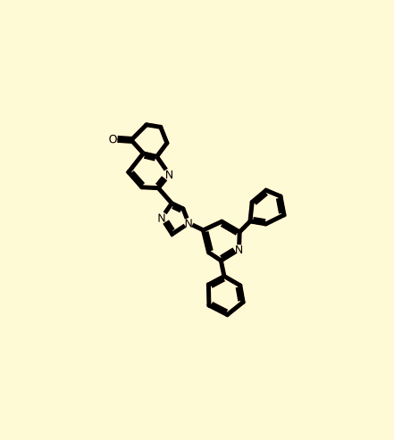 O=C1CCCc2nc(-c3cn(-c4cc(-c5ccccc5)nc(-c5ccccc5)c4)cn3)ccc21